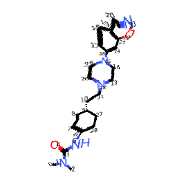 CN(C)C(=O)N[C@H]1CC[C@H](CCN2CCN(c3ccc4cnoc4c3)CC2)CC1